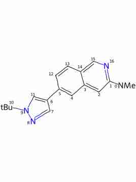 CNc1cc2cc(-c3cnn(C(C)(C)C)c3)ccc2cn1